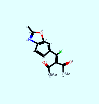 COC(=O)C(C(=O)OC)=C(Cl)c1ccc2nc(C)oc2c1